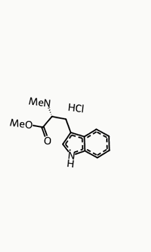 CN[C@H](Cc1c[nH]c2ccccc12)C(=O)OC.Cl